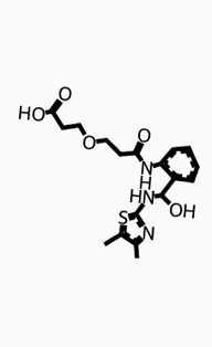 Cc1nc(NC(O)c2ccccc2NC(=O)CCOCCC(=O)O)sc1C